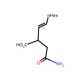 CCCCCC/C=C/C(CC(N)=O)C(=O)O